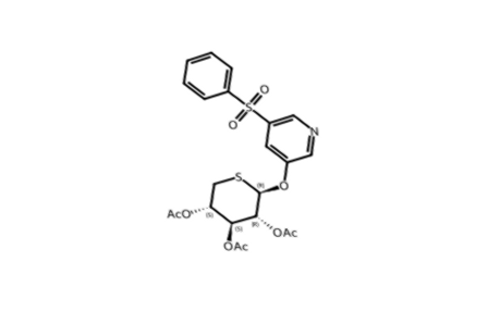 CC(=O)O[C@@H]1[C@@H](OC(C)=O)[C@H](OC(C)=O)CS[C@H]1Oc1cncc(S(=O)(=O)c2ccccc2)c1